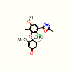 CCOc1cc(-c2nnc(C)o2)c(Cl)c(O[C@]2(C=O)C(OC)=CC(=O)C[C@H]2C)c1C